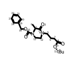 CC1C(=O)N(CCCC(=O)OC(C)(C)C)CCN1C(=O)OCc1ccccc1